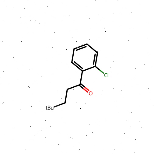 CC(C)(C)CCC(=O)c1ccccc1Cl